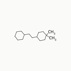 CC1(C)CCC(CCC2CCCCC2)CC1